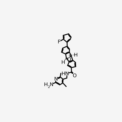 Cc1cc(N)nc(C)c1CNC(=O)c1ccc2c(c1)[C@@H]1O[C@H]2c2cc(-c3ccccc3F)ccc21